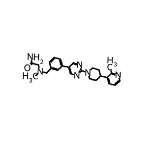 Cc1ncccc1C1CCN(c2ncc(-c3cccc(CN(C)CC(N)=O)c3)cn2)CC1